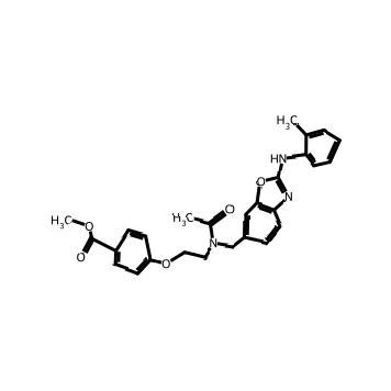 COC(=O)c1ccc(OCCN(Cc2ccc3nc(Nc4ccccc4C)oc3c2)C(C)=O)cc1